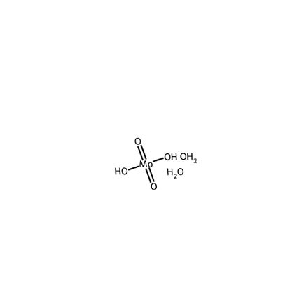 O.O.[O]=[Mo](=[O])([OH])[OH]